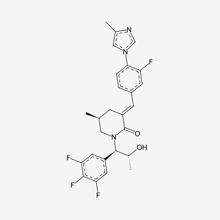 Cc1cn(-c2ccc(C=C3C[C@H](C)CN([C@H](c4cc(F)c(F)c(F)c4)[C@@H](C)O)C3=O)cc2F)cn1